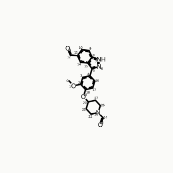 COc1cc(-c2n[nH]c3ccc(C=O)cc23)ccc1OC1CCN(C=O)CC1